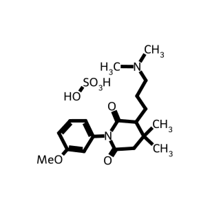 COc1cccc(N2C(=O)CC(C)(C)C(CCCN(C)C)C2=O)c1.O=S(=O)(O)O